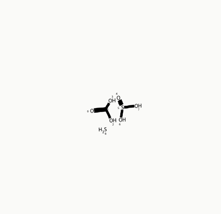 O=C(O)O.O=S(O)O.S